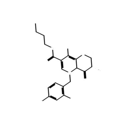 CCCCNC(=O)C1=CN(Cc2ccc(Cl)cc2F)C2C(=O)[C@@H](N)CSC2=C1F.Cl